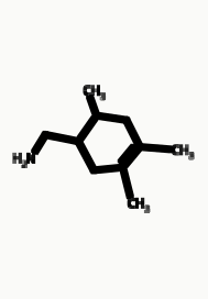 CC1=C(C)CC(CN)C(C)C1